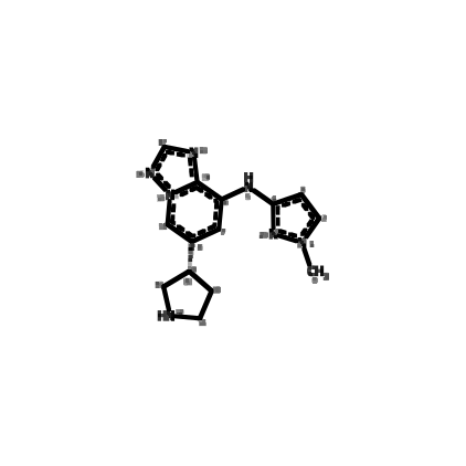 Cn1ccc(Nc2cc([C@@H]3CCNC3)cn3ncnc23)n1